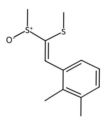 CS/C(=C\c1cccc(C)c1C)[S+](C)[O-]